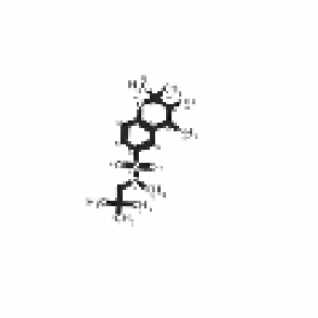 CN(CC(C)(C)C)S(=O)(=O)c1ccc2c(c1)C(N)C(O)C(C)(C)O2